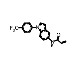 C=CC(=O)N(C)c1ccc2c(ccn2-c2ccc(C(F)(F)F)cc2)c1